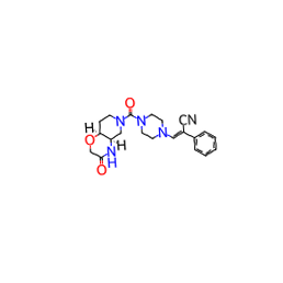 N#C/C(=C\N1CCN(C(=O)N2CC[C@@H]3OCC(=O)N[C@@H]3C2)CC1)c1ccccc1